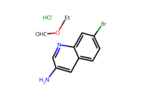 CCOC=O.Cl.Nc1cnc2cc(Br)ccc2c1